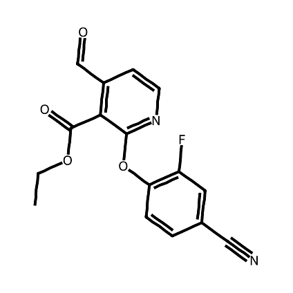 CCOC(=O)c1c(C=O)ccnc1Oc1ccc(C#N)cc1F